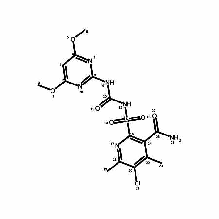 COc1cc(OC)nc(NC(=O)NS(=O)(=O)c2nc(C)c(Cl)c(C)c2C(N)=O)n1